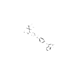 Cc1cc(COc2ccc(C(=O)NC3CCN(C(C(=O)NO)C(C)(C)C(=O)N(C)C)CC3)cc2)c2ccccc2n1